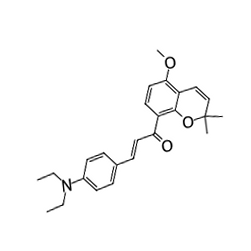 CCN(CC)c1ccc(/C=C/C(=O)c2ccc(OC)c3c2OC(C)(C)C=C3)cc1